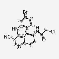 N#Cc1cnc2ccc(NC(=O)CCl)cc2c1Nc1cccc(Br)c1